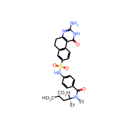 CCN(C(=O)c1ccc(NS(=O)(=O)c2ccc3c(c2)CCc2nc(N)[nH]c(=O)c2-3)cc1)[C@@](CC)(CCC(=O)O)C(=O)O